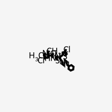 Cc1nc(C)c(C(=O)Nc2nc(-c3cc(Cl)cs3)c(N3CCN(C4CCCCC4)CC3)s2)cc1Cl